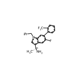 CC(C)Cn1cc([C@@H](C)N)c2cc(F)c(-c3ccccc3C(F)(F)F)cc21